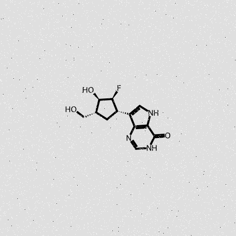 O=c1[nH]cnc2c([C@@H]3C[C@H](CO)[C@@H](O)[C@H]3F)c[nH]c12